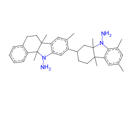 Cc1cc(C)c2c(c1)C1(C)CCC(c3cc4c(cc3C)C3(C)CCc5ccccc5C3(C)N4N)CC1(C)N2N